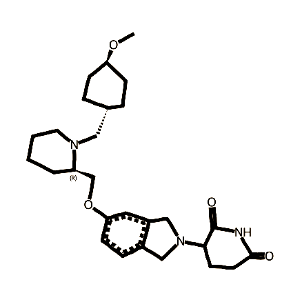 CO[C@H]1CC[C@H](CN2CCCC[C@@H]2COc2ccc3c(c2)CN(C2CCC(=O)NC2=O)C3)CC1